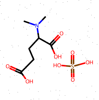 CN(C)C(CCC(=O)O)C(=O)O.O=S(=O)(O)O